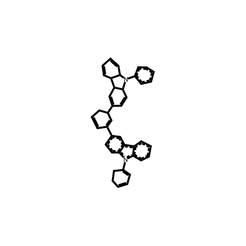 C1=CCCC(n2c3ccccc3c3cc(C4=CC(C5=CC6C7C=CC=CC7N(c7ccccc7)C6C=C5)CC=C4)ccc32)=C1